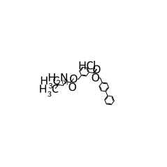 CC(C)C[C@H](N)C(=O)OCc1cccc(C(=O)OCc2ccc(-c3ccccc3)cc2)c1.Cl